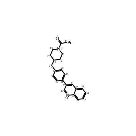 CC(C)C(=O)N1CCC(Sc2ccc(-c3cnc4ccccc4c3)cc2)CC1